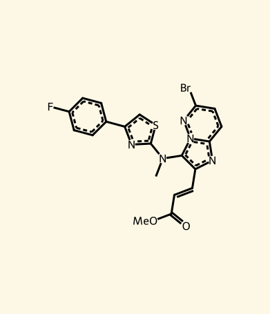 COC(=O)/C=C/c1nc2ccc(Br)nn2c1N(C)c1nc(-c2ccc(F)cc2)cs1